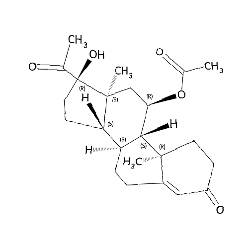 CC(=O)O[C@@H]1C[C@@]2(C)[C@@H](CC[C@]2(O)C(C)=O)[C@@H]2CCC3=CC(=O)CC[C@]3(C)[C@H]21